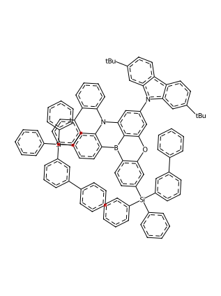 CC(C)(C)c1ccc2c3ccc(C(C)(C)C)cc3n(-c3cc4c5c(c3)N(c3ccccc3-c3ccccc3)c3cc([Si](c6ccccc6)(c6ccccc6)c6cccc(-c7ccccc7)c6)ccc3B5c3ccc([Si](c5ccccc5)(c5ccccc5)c5cccc(-c6ccccc6)c5)cc3O4)c2c1